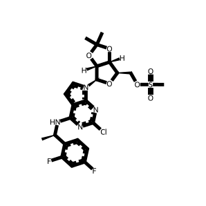 C[C@@H](Nc1nc(Cl)nc2c1ccn2[C@@H]1O[C@H](COS(C)(=O)=O)[C@H]2OC(C)(C)O[C@H]21)c1ccc(F)cc1F